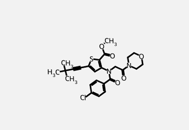 COC(=O)c1sc(C#CC(C)(C)C)cc1N(CC(=O)N1CCOCC1)C(=O)c1ccc(Cl)cc1